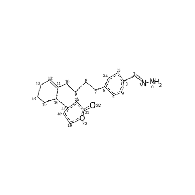 NN=Cc1ccc(CCCCC2=CCCCC2c2ccoc(=O)c2)cc1